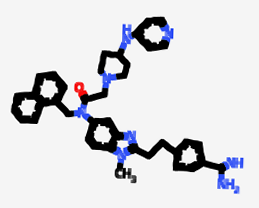 Cn1c(CCc2ccc(C(=N)N)cc2)nc2cc(N(Cc3cccc4ccccc34)C(=O)CN3CCC(Nc4ccncc4)CC3)ccc21